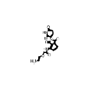 NCCOCC(=O)NC1=C2C(=O)N(C3CCC(=O)NC3=O)C(=O)C2CC=C1